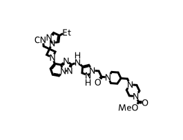 CCc1cnn(C2(CC#N)CN(c3cccn4nc(NC5=CN(CC(=O)N6CCC(CN7CCN(C(=O)OC)CC7)CC6)NC5)nc34)C2)c1